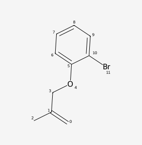 C=C(C)COc1ccccc1Br